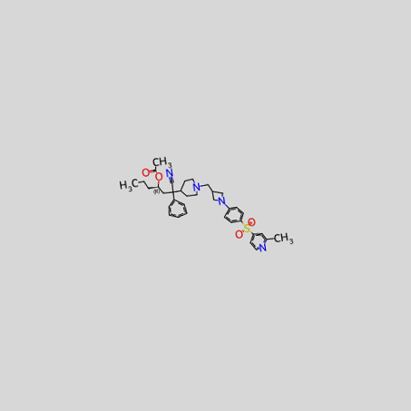 CCC[C@H](CC(C#N)(c1ccccc1)C1CCN(CC2CN(c3ccc(S(=O)(=O)c4ccnc(C)c4)cc3)C2)CC1)OC(C)=O